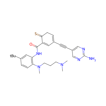 CN(C)CCCN(C)c1ccc(C(C)(C)C)cc1NC(=O)C1=CC(C#Cc2cnc(N)nc2)=CCC1=S